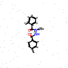 Cc1ccc(C(=O)NN(C(=O)c2ccccc2C)C(C)(C)C)cc1